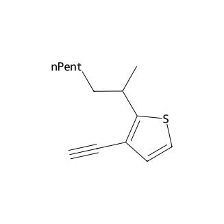 C#Cc1ccsc1C(C)CCCCCC